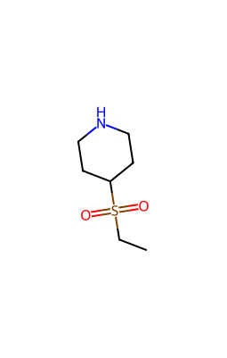 CCS(=O)(=O)C1CCNCC1